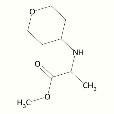 COC(=O)C(C)NC1CCOCC1